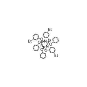 CCc1cccc(OP2(Oc3ccccc3)=NP(Oc3ccccc3)(Oc3cccc(CC)c3)=NP(Oc3ccccc3)(Oc3cccc(CC)c3)=N2)c1